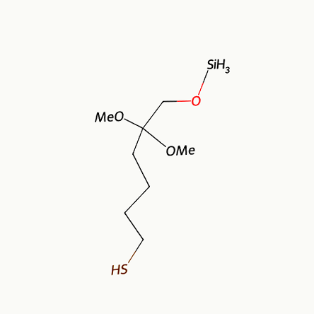 COC(CCCCS)(CO[SiH3])OC